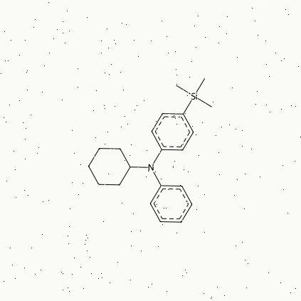 C[Si](C)(C)c1ccc(N(c2ccccc2)C2CCCCC2)cc1